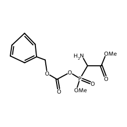 COC(=O)C(N)P(=O)(OC)OC(=O)OCc1ccccc1